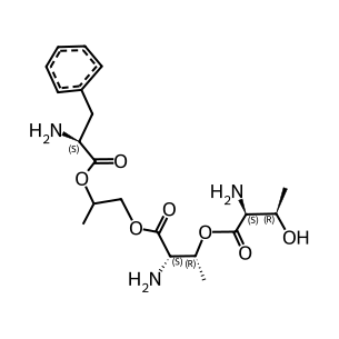 CC(COC(=O)[C@@H](N)[C@@H](C)OC(=O)[C@@H](N)[C@@H](C)O)OC(=O)[C@@H](N)Cc1ccccc1